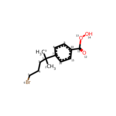 CC(C)(CCCBr)c1ccc(C(=O)OO)cc1